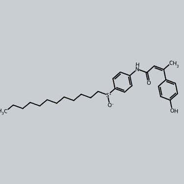 CCCCCCCCCCCC[S+]([O-])c1ccc(NC(=O)C=C(C)c2ccc(O)cc2)cc1